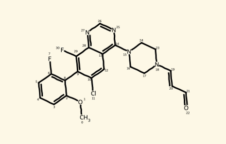 COc1cccc(F)c1-c1c(Cl)cc2c(N3CCN(C=CC=O)CC3)ncnc2c1F